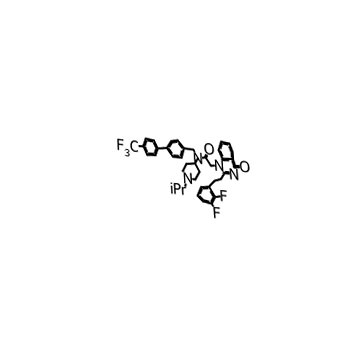 CC(C)N1CCC(N(Cc2ccc(-c3ccc(C(F)(F)F)cc3)cc2)C(=O)Cn2c(CCc3cccc(F)c3F)nc(=O)c3ccccc32)CC1